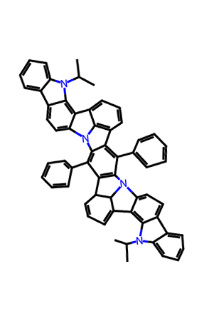 CC(C)n1c2ccccc2c2ccc3c(c21)C1=CC=CC2c4c(c(-c5ccccc5)c5c6cccc7c8c9c(ccc8n(c5c4-c4ccccc4)c67)c4ccccc4n9C(C)C)N3C12